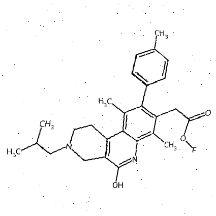 Cc1ccc(-c2c(CC(=O)OF)c(C)c3nc(O)c4c(c3c2C)CCN(CC(C)C)C4)cc1